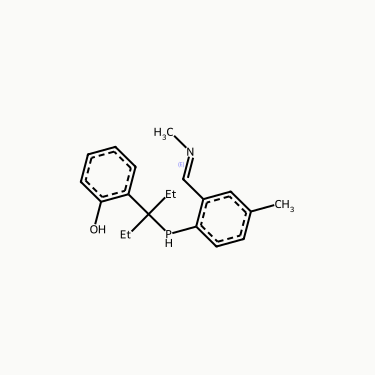 CCC(CC)(Pc1ccc(C)cc1/C=N/C)c1ccccc1O